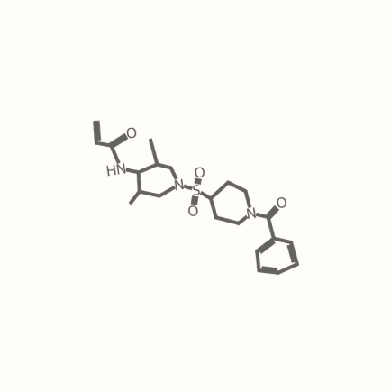 C=CC(=O)NC1C(C)CN(S(=O)(=O)C2CCN(C(=O)c3ccccc3)CC2)CC1C